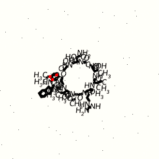 CC[C@H](C)[C@@H]1NC(=O)[C@@H](CCCNC(=N)N)NC(=O)[C@H](CC(C)C)NC(=O)[C@H]([C@H](O)C(C)C)NC(=O)[C@@H](NC(=O)[C@H](CC(C)C)NC(=O)C2(N)Cc3ccccc3C2)[C@@H](c2ccccc2)OC(=O)[C@H](CO)NC(=O)[C@H]([C@H](O)C(N)=O)NC(=O)CNC(=O)[C@H]([C@H](C)O)NC1=O